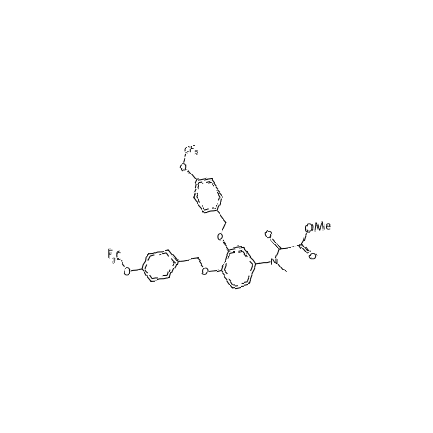 COC(=O)C(=O)N(C)c1ccc(OCc2ccc(OC(F)(F)F)cc2)c(OCc2ccc(OC(F)(F)F)cc2)c1